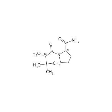 C[C@H](C(=O)N1CCC[C@H]1C(N)=O)C(C)(C)C